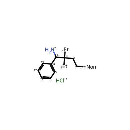 CCCCCCCCCCCC(CC)(CC)C(N)c1ccccc1.Cl